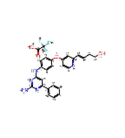 Nc1nc(Nc2ccc(Oc3ccnc(/C=C/CCO)c3)cc2)cc(-c2ccccc2)n1.O=C(O)C(F)(F)F